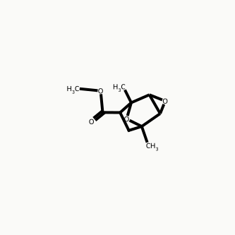 COC(=O)C1CC2(C)OC1(C)C1OC12